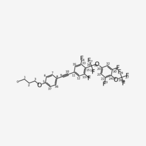 CCCCOc1ccc(C#Cc2cc(F)c(C(F)(F)Oc3cc(F)c(OC(F)(F)F)c(F)c3)c(F)c2)cc1